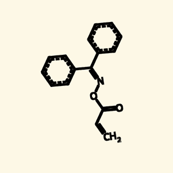 C=CC(=O)ON=C(c1ccccc1)c1ccccc1